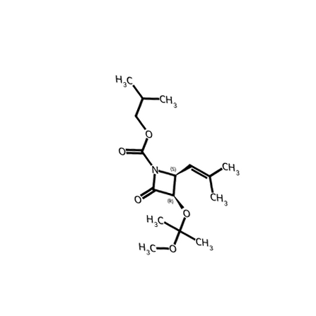 COC(C)(C)O[C@H]1C(=O)N(C(=O)OCC(C)C)[C@H]1C=C(C)C